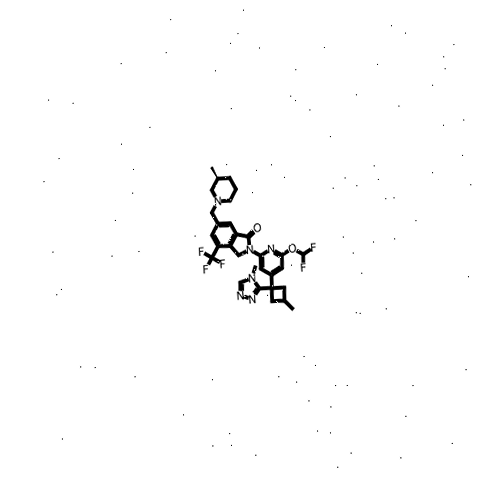 CC1CC(c2cc(OC(F)F)nc(N3Cc4c(cc(CN5CCC[C@H](C)C5)cc4C(F)(F)F)C3=O)c2)(c2nncn2C)C1